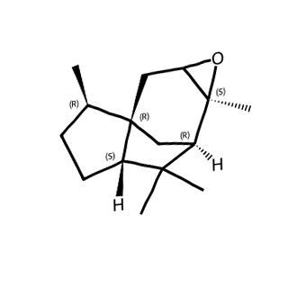 C[C@@H]1CC[C@H]2C(C)(C)[C@H]3C[C@@]12CC1O[C@]13C